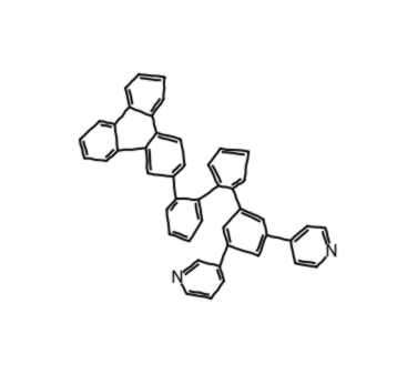 c1cncc(-c2cc(-c3ccncc3)cc(-c3ccccc3-c3ccccc3-c3ccc4c5ccccc5c5ccccc5c4c3)c2)c1